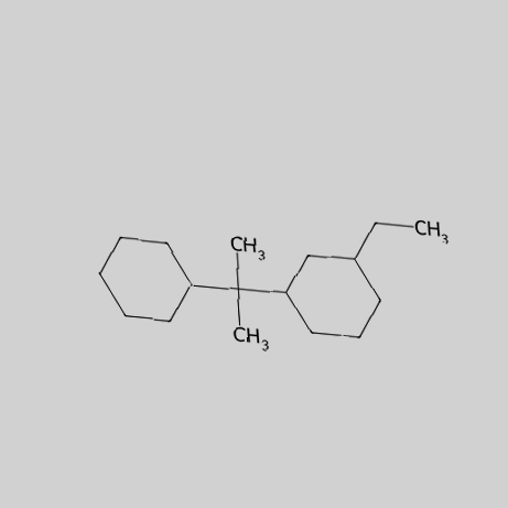 CCC1CCCC(C(C)(C)C2CCCCC2)C1